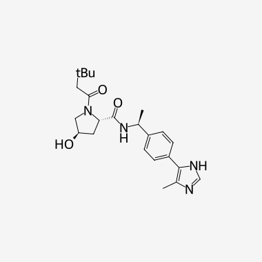 Cc1nc[nH]c1-c1ccc([C@H](C)NC(=O)[C@@H]2C[C@@H](O)CN2C(=O)CC(C)(C)C)cc1